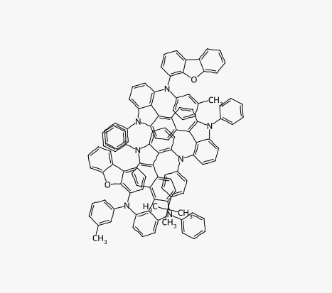 Cc1cccc(N(c2cccc3c2oc2ccccc23)c2cccc3c2c2c4ccc5c(c4ccc2n3-c2ccccc2)c2c(N(c3ccc(C(C)(C)C)cc3)c3cccc4c3c3c6ccc7c(c6ccc3n4-c3ccccc3)c3c(N(c4cccc(C)c4)c4cccc6c4oc4ccccc46)cccc3n7-c3ccccc3)cccc2n5-c2ccccc2)c1